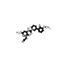 COc1cccc(C2CCCN(C(=O)NC(CC(C)C)C(=O)NCC#N)C2)c1F